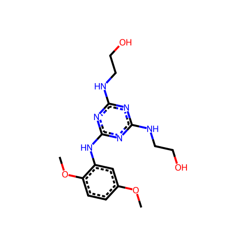 COc1ccc(OC)c(Nc2nc(NCCO)nc(NCCO)n2)c1